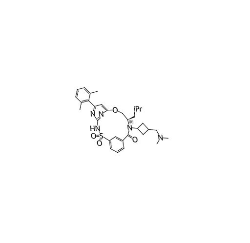 Cc1cccc(C)c1-c1cc2nc(n1)NS(=O)(=O)c1cccc(c1)C(=O)N(C1CC(CN(C)C)C1)[C@H](CC(C)C)CO2